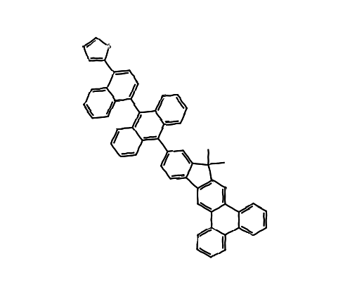 CC1(C)c2cc(-c3c4ccccc4c(-c4ccc(-c5cccs5)c5ccccc45)c4ccccc34)ccc2-c2cc3c4ccccc4c4ccccc4c3cc21